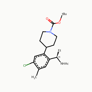 CC[C@@H](NC(C)=O)c1cc(C)c(Cl)cc1C1CCN(C(=O)OC(C)(C)C)CC1